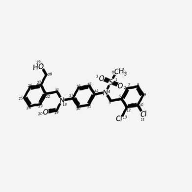 CS(=O)(=O)N(Cc1cccc(Cl)c1Cl)c1ccc(N(C=O)Cc2ccccc2CO)cc1